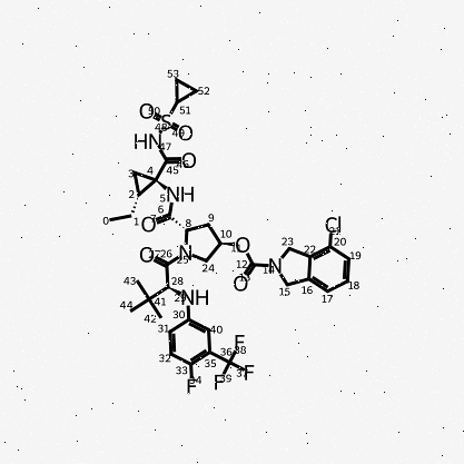 CC[C@@H]1C[C@]1(NC(=O)[C@@H]1C[C@@H](OC(=O)N2Cc3cccc(Cl)c3C2)CN1C(=O)[C@@H](Nc1ccc(F)c(C(F)(F)F)c1)C(C)(C)C)C(=O)NS(=O)(=O)C1CC1